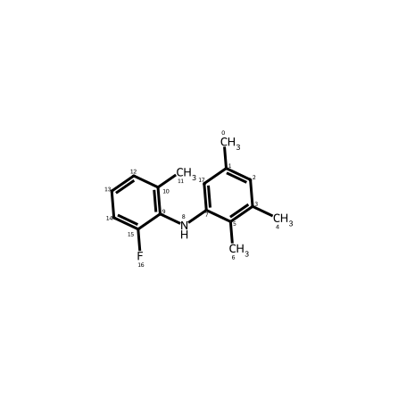 Cc1cc(C)c(C)c(Nc2c(C)cccc2F)c1